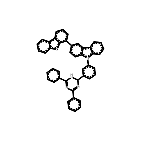 c1ccc(C2=NC(c3cccc(-n4c5ccccc5c5cc(-c6cccc7c6sc6ccccc67)ccc54)c3)NC(c3ccccc3)=N2)cc1